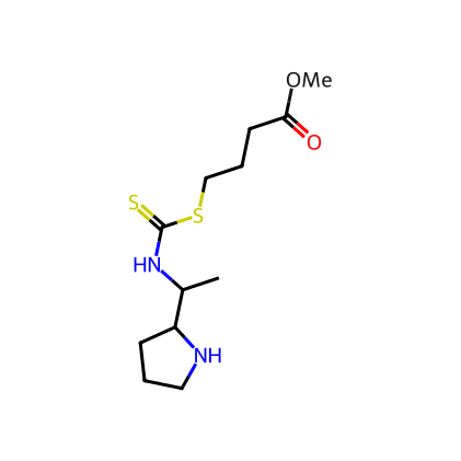 COC(=O)CCCSC(=S)NC(C)C1CCCN1